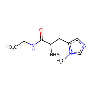 CC(=O)NC(Cc1cncn1C)C(=O)NCC(=O)O